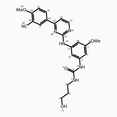 COc1cc(NC(=O)NCCCO)cc(Nc2nccc(-c3ccc(OC)c(C#N)c3)n2)c1